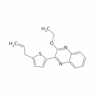 C=CCc1ccc(-c2nc3ccccc3nc2OCC)s1